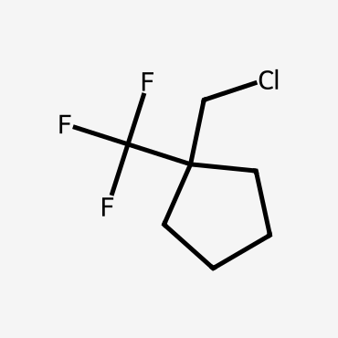 FC(F)(F)C1(CCl)CCCC1